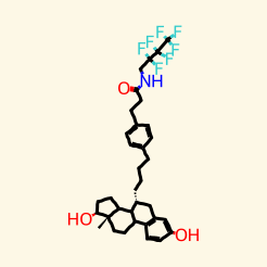 C[C@]12CCC3c4ccc(O)cc4C[C@@H](CCCCc4ccc(CCC(=O)NCC(F)(F)C(F)(F)C(F)(F)F)cc4)C3C1CC[C@@H]2O